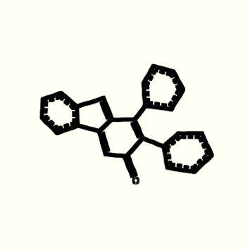 O=C1C=C2C(=Cc3ccccc32)C(c2ccccc2)=C1c1ccccc1